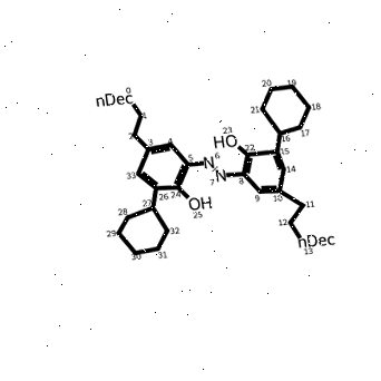 CCCCCCCCCCCCc1cc(N=Nc2cc(CCCCCCCCCCCC)cc(C3CCCCC3)c2O)c(O)c(C2CCCCC2)c1